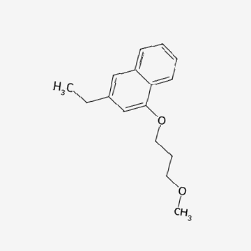 CCc1cc(OCCCOC)c2ccccc2c1